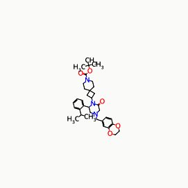 CC(C)c1ccccc1C1CN(Cc2ccc3c(c2)OCCO3)CC(=O)N1C1CC2(CCN(C(=O)OC(C)(C)C)CC2)C1